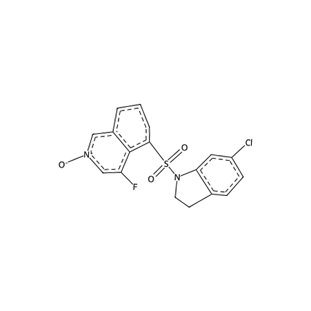 O=S(=O)(c1cccc2c[n+]([O-])cc(F)c12)N1CCc2ccc(Cl)cc21